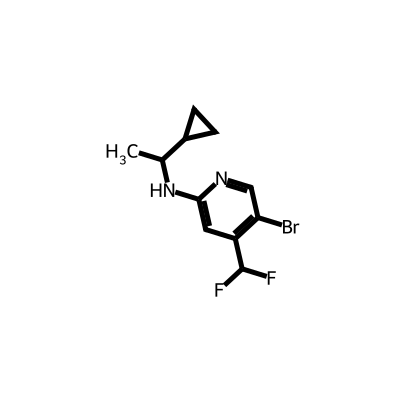 CC(Nc1cc(C(F)F)c(Br)cn1)C1CC1